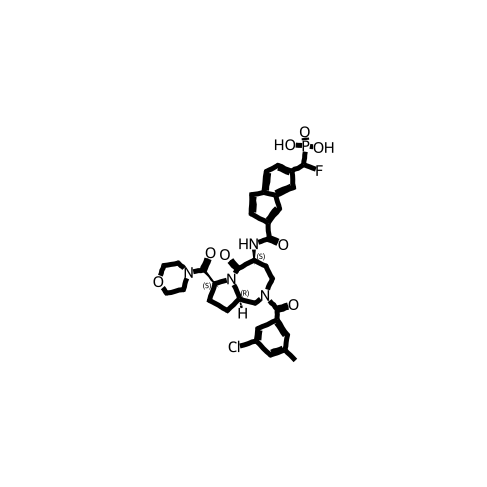 Cc1cc(Cl)cc(C(=O)N2CC[C@H](NC(=O)c3ccc4ccc(C(F)P(=O)(O)O)cc4c3)C(=O)N3[C@H](CC[C@H]3C(=O)N3CCOCC3)C2)c1